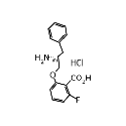 Cl.N[C@@H](COc1cccc(F)c1C(=O)O)Cc1ccccc1